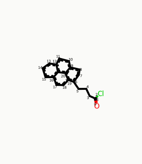 O=C(Cl)CCCc1ccc2ccc3cccc4ccc1c2c34